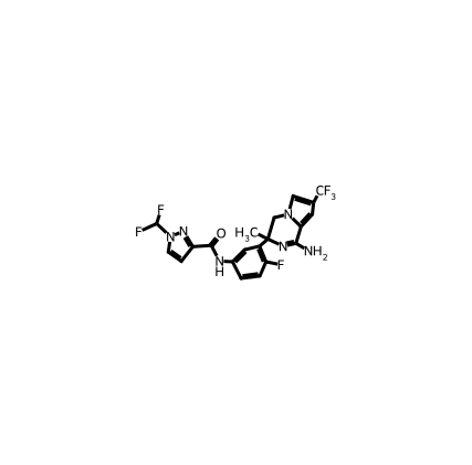 CC1(c2cc(NC(=O)c3ccn(C(F)F)n3)ccc2F)Cn2cc(C(F)(F)F)cc2C(N)=N1